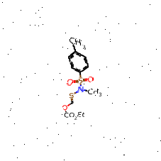 CCOC(=O)OCSN(C)S(=O)(=O)c1ccc(C)cc1